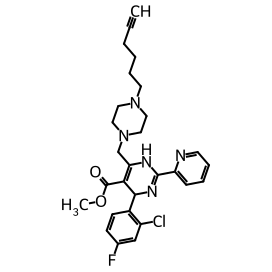 C#CCCCCN1CCN(CC2=C(C(=O)OC)C(c3ccc(F)cc3Cl)N=C(c3ccccn3)N2)CC1